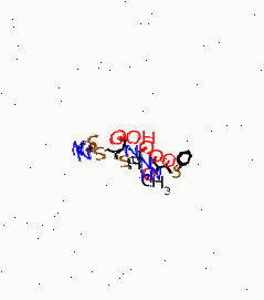 CON=C(C(=O)NC1C(=O)N2C(C(=O)O)=C(CSc3nncs3)CS[C@@H]12)C1=CSc2ccccc2O1